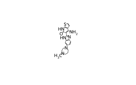 CN1CCCN(c2ccc3nc(-c4c(N)c5ccsc5[nH]c4=O)[nH]c3c2)CC1